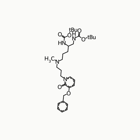 CN(CCCC(CNC(=O)OC(C)(C)C)NC(=O)OC(C)(C)C)CCCn1cccc(OCc2ccccc2)c1=O